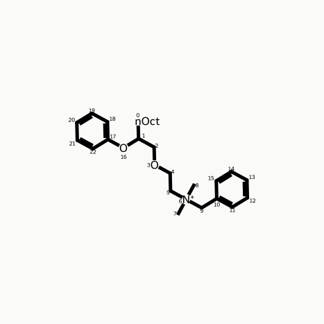 CCCCCCCCC(COCC[N+](C)(C)Cc1ccccc1)Oc1ccccc1